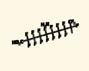 CC(F)(C(F)(F)F)C(F)(F)C(F)(F)C(F)(F)C(F)(F)C(F)(F)C(F)(F)C(F)(F)C(=O)O.N